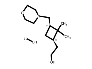 CC1(C)[C@@H](CCO)C[C@H]1CN1CCOCC1.CCO